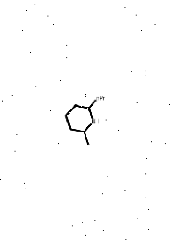 CCCC1BC(C)CCC1